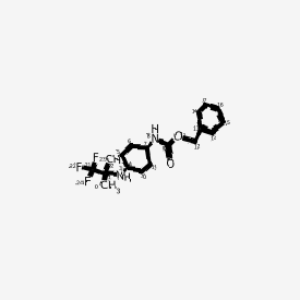 CC(C)(N[C@H]1CC[C@@H](NC(=O)OCc2ccccc2)CC1)C(F)(F)F